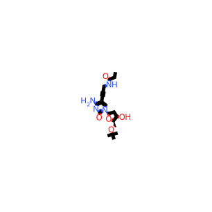 CCC(=O)NCC#Cc1cn([C@H]2CC(O)[C@@H](COC(C)(C)C)O2)c(=O)nc1N